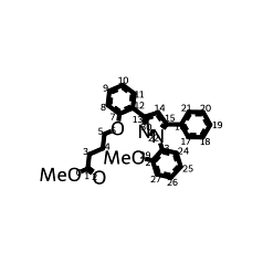 COC(=O)CCCOc1ccccc1-c1cc(-c2ccccc2)n(-c2ccccc2OC)n1